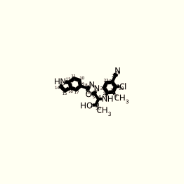 Cc1c(NC(c2nnc(-c3ccc4[nH]ccc4c3)o2)[C@H](C)O)ccc(C#N)c1Cl